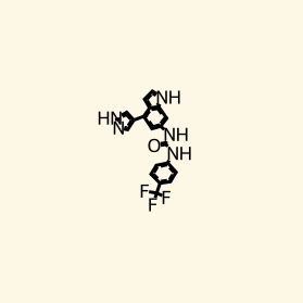 O=C(Nc1ccc(C(F)(F)F)cc1)Nc1cc(-c2cn[nH]c2)c2cc[nH]c2c1